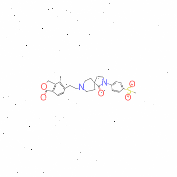 Cc1c(CCN2CCC3(CC2)CCN(c2ccc(S(C)(=O)=O)cc2)C3=O)ccc2c1COC2=O